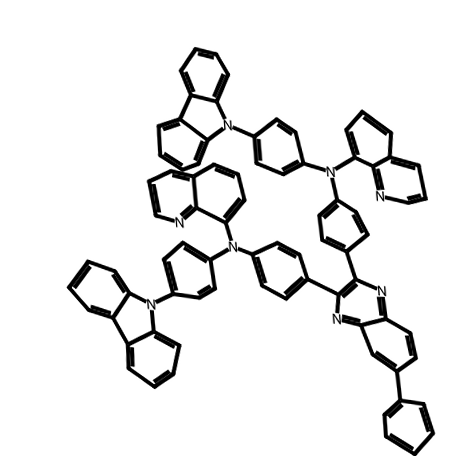 c1ccc(-c2ccc3nc(-c4ccc(N(c5ccc(-n6c7ccccc7c7ccccc76)cc5)c5cccc6cccnc56)cc4)c(-c4ccc(N(c5ccc(-n6c7ccccc7c7ccccc76)cc5)c5cccc6cccnc56)cc4)nc3c2)cc1